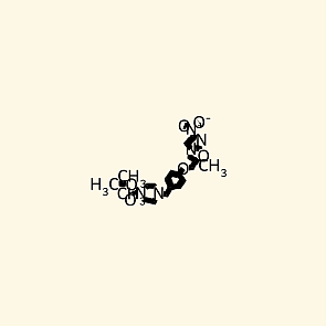 CC(C)(C)OC(=O)N1CCN(Cc2ccc(OCC3(C)Cn4cc([N+](=O)[O-])nc4O3)cc2)CC1